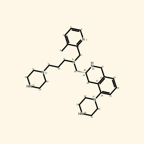 Cc1cccnc1CN(CCCN1CCNCC1)C[C@H]1Cc2c(cccc2N2CCNCC2)CN1